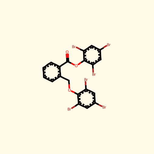 O=C(Oc1c(Br)cc(Br)cc1Br)c1ccccc1COc1c(Br)cc(Br)cc1Br